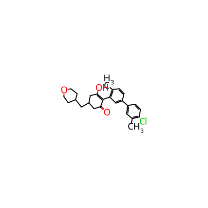 Cc1cc(-c2ccc(C)c(C3=C(O)CC(CC4CCOCC4)CC3=O)c2)ccc1Cl